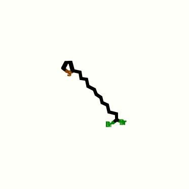 BrC(Br)CCCCCCCCCCCc1cccs1